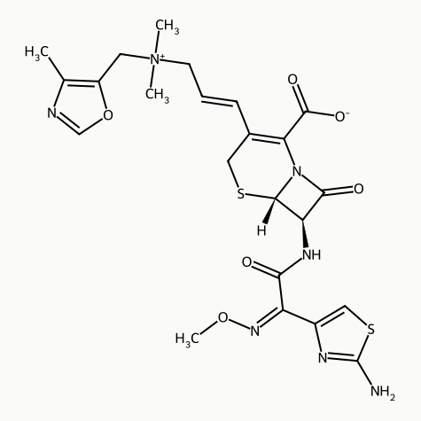 CO/N=C(\C(=O)N[C@@H]1C(=O)N2C(C(=O)[O-])=C(/C=C/C[N+](C)(C)Cc3ocnc3C)CS[C@@H]12)c1csc(N)n1